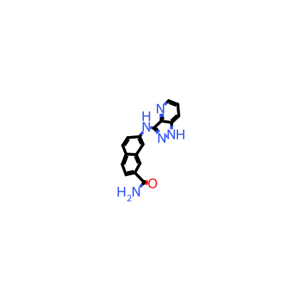 NC(=O)c1ccc2ccc(Nc3n[nH]c4cccnc34)cc2c1